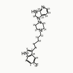 Fc1ccc2[nH]cc(CCCCCN3CCN(N4CNc5ncccc54)CC3)c2c1